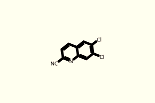 N#Cc1ccc2cc(Cl)c(Cl)cc2n1